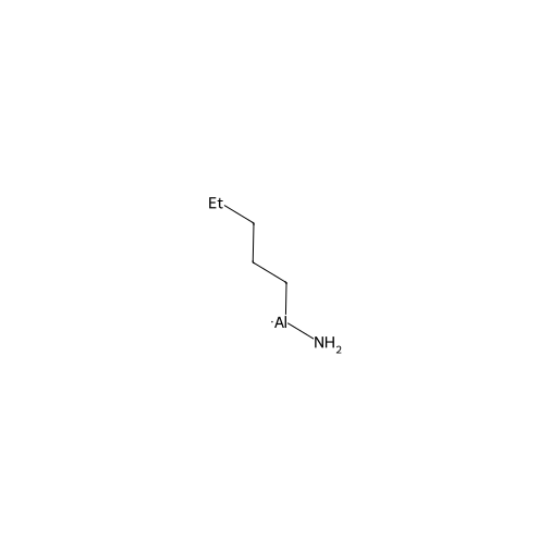 CCCC[CH2][Al][NH2]